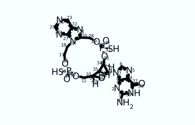 Nc1nc2c(ncn2[C@@H]2O[C@@H]3CO[P@](=O)(S)OCCn4c(nc5cncnc54)CO[P@@](=O)(S)O[C@@H]2[C@@H]3F)c(=O)[nH]1